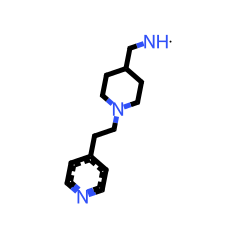 [NH]CC1CCN(CCc2ccncc2)CC1